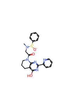 CN(CC(=O)N1CCCc2c(O)nc(-c3ccccn3)nc21)[S+]([O-])c1ccccc1